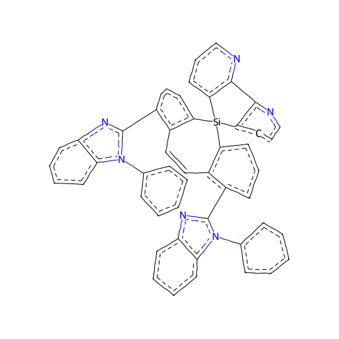 C1=Cc2c(-c3nc4ccccc4n3-c3ccccc3)cccc2[Si]2(c3cccnc3-c3ncccc32)c2cccc(-c3nc4ccccc4n3-c3ccccc3)c21